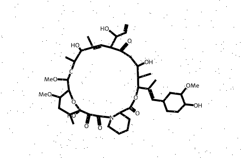 C=CC(O)C1C=C(C)C(O)C(C)CC(OC)C2OC(O)(C(=O)C(=O)N3CCCCC3C(=O)OC(C(C)=CC3CCC(O)C(OC)C3)C(C)C(O)CC1=O)C(C)CC2OC